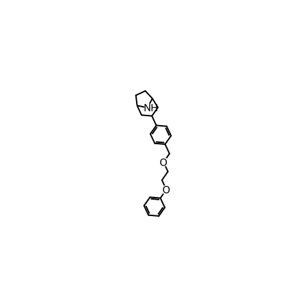 c1ccc(OCCOCc2ccc(C3CC4CCC(C3)N4)cc2)cc1